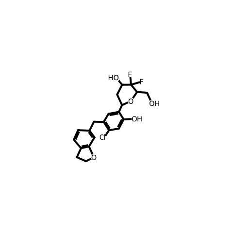 OCC1OC(c2cc(Cc3ccc4c(c3)OCC4)c(Cl)cc2O)CC(O)C1(F)F